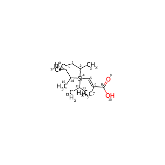 CCC(C)[Si](C=C(C)C(=O)O)(C(C)C)C(C)CC